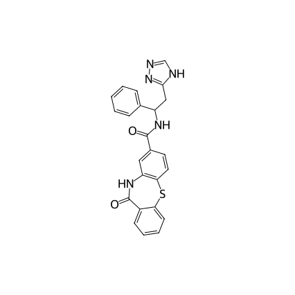 O=C(NC(Cc1nnc[nH]1)c1ccccc1)c1ccc2c(c1)NC(=O)c1ccccc1S2